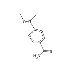 CON(C)c1ccc(C(N)=S)cc1